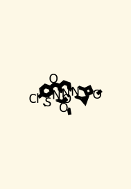 CCOC(=O)Cn1c2nc(N(CC3CC3)CC3CC(OC)C3)ccc2c(=O)c2ccc(Cl)c(SC)c21